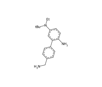 CCN(c1ccc(N)c(-c2ccc(CN)cc2)c1)C(C)(C)C